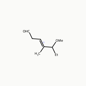 CCC(OC)/C(C)=C/CC=O